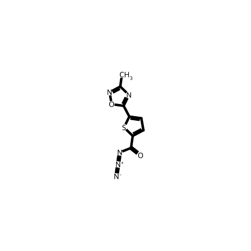 Cc1noc(-c2ccc(C(=O)N=[N+]=[N-])s2)n1